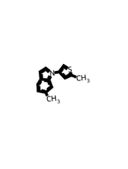 Cc1ccc2ccn(-c3csc(C)c3)c2c1